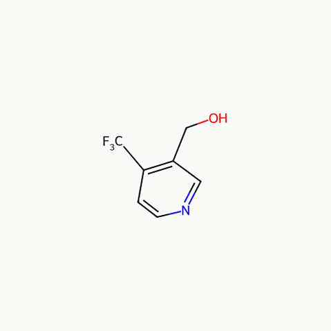 OCc1cnccc1C(F)(F)F